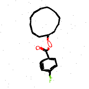 O=C(OC1CCCCCCCCCCC1)c1ccc(F)cc1